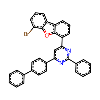 Brc1cccc2c1oc1c(-c3cc(-c4ccc(-c5ccccc5)cc4)nc(-c4ccccc4)n3)cccc12